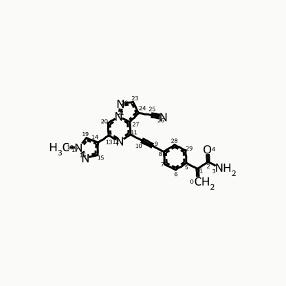 C=C(C(N)=O)c1ccc(C#Cc2nc(-c3cnn(C)c3)cn3ncc(C#N)c23)cc1